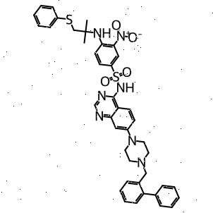 CC(C)(CSc1ccccc1)Nc1ccc(S(=O)(=O)Nc2ncnc3cc(N4CCN(Cc5ccccc5-c5ccccc5)CC4)ccc23)cc1[N+](=O)[O-]